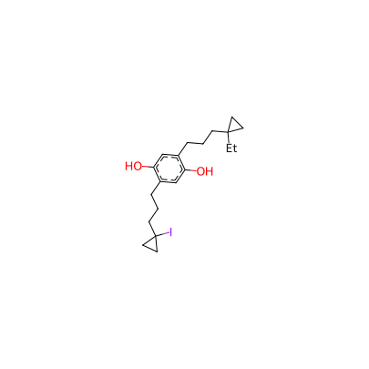 CCC1(CCCc2cc(O)c(CCCC3(I)CC3)cc2O)CC1